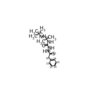 CC(C)(C)N=NC(C)(C)NC(=O)NNC(=S)Cc1ccccc1